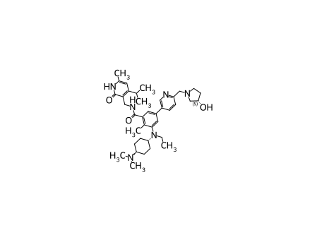 CCN(c1cc(-c2ccc(CN3CC[C@H](O)C3)nc2)cc(C(=O)NCc2c(C(C)C)cc(C)[nH]c2=O)c1C)[C@H]1CC[C@H](N(C)C)CC1